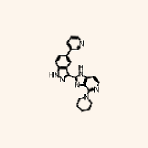 c1cncc(-c2ccc3[nH]nc(-c4nc5c(N6CCCCC6)nccc5[nH]4)c3c2)c1